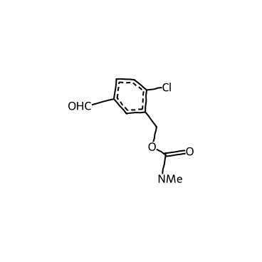 CNC(=O)OCc1cc(C=O)ccc1Cl